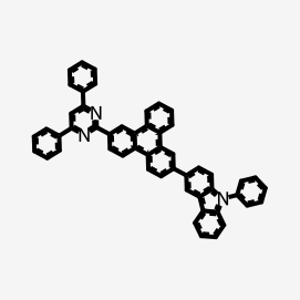 c1ccc(-c2cc(-c3ccccc3)nc(-c3ccc4c5ccc(-c6ccc7c(c6)c6ccccc6n7-c6ccccc6)cc5c5ccccc5c4c3)n2)cc1